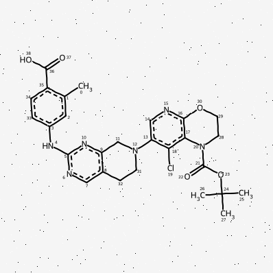 Cc1cc(Nc2ncc3c(n2)CN(c2cnc4c(c2Cl)N(C(=O)OC(C)(C)C)CCO4)CC3)ccc1C(=O)O